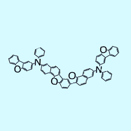 c1ccc(N(c2ccc3c(ccc4c5ccc6oc7c8ccc(N(c9ccccc9)c9ccc%10oc%11ccccc%11c%10c9)cc8ccc7c6c5oc34)c2)c2ccc3oc4ccccc4c3c2)cc1